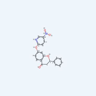 O=C1CC(c2ccccc2)Oc2cc(Oc3ccc([N+](=O)[O-])cn3)ccc21